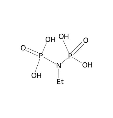 CCN(P(=O)(O)O)P(=O)(O)O